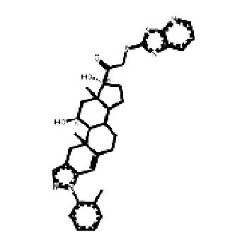 Cc1ccccc1-n1ncc2c1C=C1CCC3C([C@@H](O)CC4(C)C3CC[C@]4(O)C(=O)CSc3nc4cccnc4s3)C1(C)C2